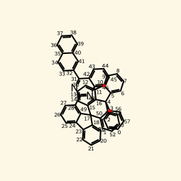 c1ccc(C23c4ccccc4-c4cccc(c42)C2(c4ccccc4-c4cccc(-c5nc(-c6ccc7ccccc7c6)c6ccccc6n5)c42)c2ccccc23)cc1